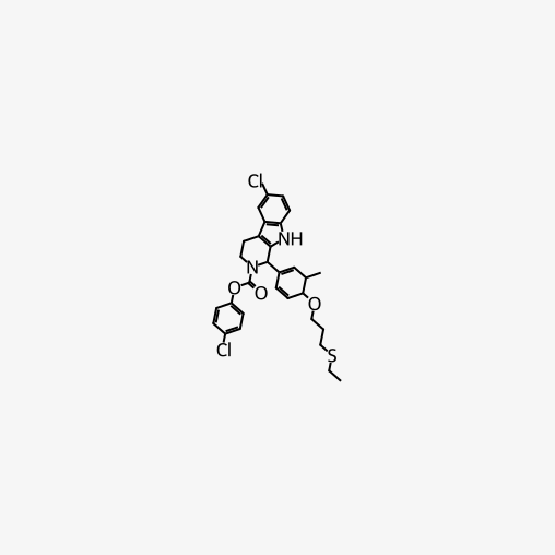 CCSCCCOC1C=CC(C2c3[nH]c4ccc(Cl)cc4c3CCN2C(=O)Oc2ccc(Cl)cc2)=CC1C